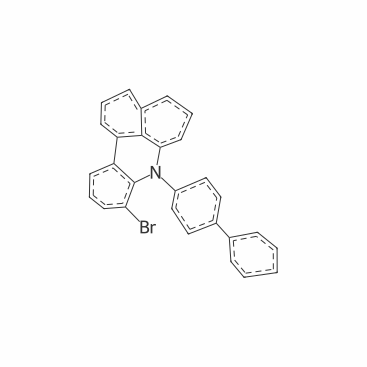 Brc1cccc2c1N(c1ccc(-c3ccccc3)cc1)c1cccc3cccc-2c13